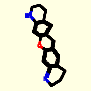 C1=c2cc3c(cc2Oc2cc4c(cc21)CCCN4)=NCCC3